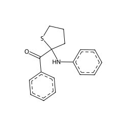 O=C(c1ccccc1)C1(Nc2ccccc2)CCCS1